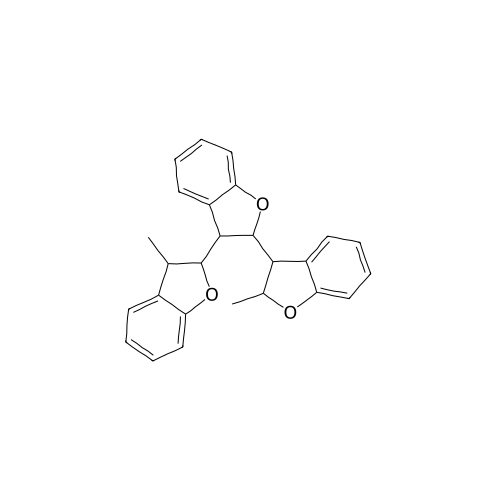 CC1Oc2ccccc2C1C1Oc2ccccc2C1C1Oc2ccccc2C1C